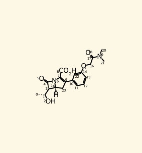 C[C@@H](O)[C@H]1C(=O)N2C(C(=O)O)=C(c3cccc(OCC(=O)N(C)C)c3)C[C@H]12